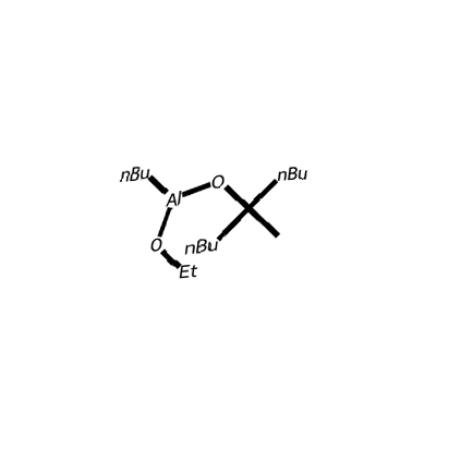 CCC[CH2][Al]([O]CC)[O]C(C)(CCCC)CCCC